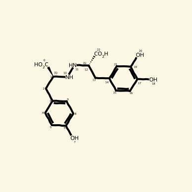 O=C(O)[C@H](Cc1ccc(O)cc1)NN[C@@H](Cc1ccc(O)c(O)c1)C(=O)O